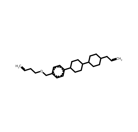 C=CCCOCc1ccc(C2CCC(C3CCC(CC=C)CC3)CC2)cc1